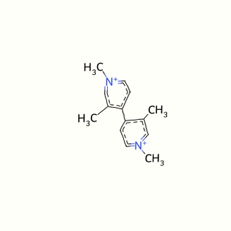 Cc1c[n+](C)ccc1-c1cc[n+](C)cc1C